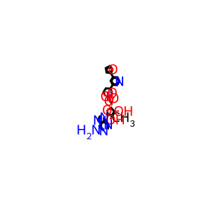 C[C@@]1(O)[C@H](O)[C@@H](COP2(=O)OCCC(c3cncc(-c4ccco4)c3)O2)O[C@H]1n1cnc2c(N)ncnc21